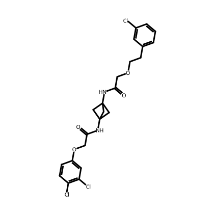 O=C(COCCc1cccc(Cl)c1)NC12CC(NC(=O)COc3ccc(Cl)c(Cl)c3)(C1)C2